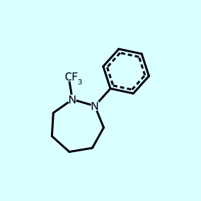 FC(F)(F)N1CCCCCN1c1ccccc1